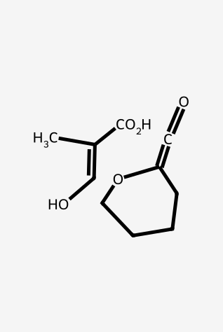 CC(=CO)C(=O)O.O=C=C1CCCCO1